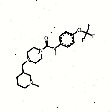 CN1CCCC(CN2CCN(C(=O)Nc3ccc(OC(F)(F)F)cc3)CC2)C1